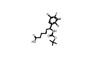 CC(C)(C)OC(=O)NC(CCCCC(=O)O)c1cc(F)c(F)c(F)c1F